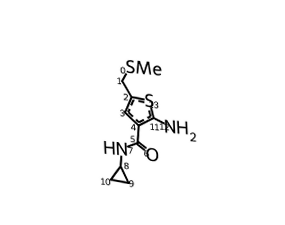 CSCc1cc(C(=O)NC2CC2)c(N)s1